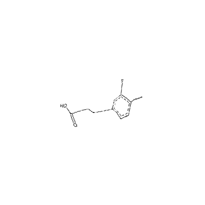 Cc1ccc(CCC(=O)O)cc1F